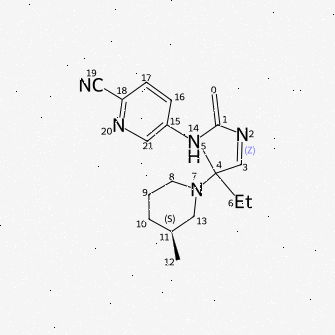 C=C(/N=C\C(C)(CC)N1CCC[C@H](C)C1)Nc1ccc(C#N)nc1